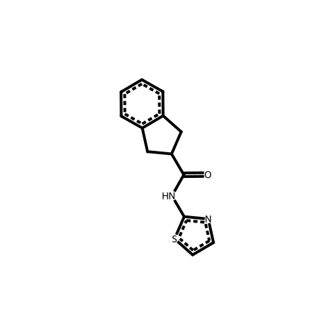 O=C(Nc1nccs1)C1Cc2ccccc2C1